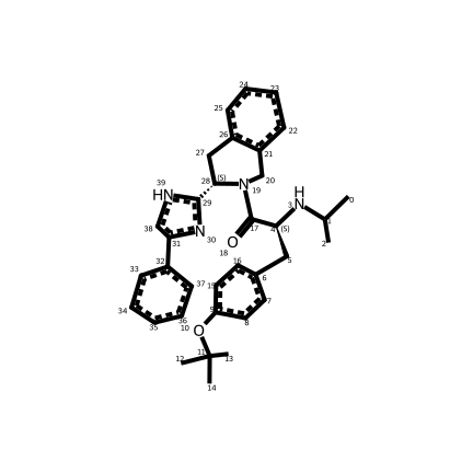 CC(C)N[C@@H](Cc1ccc(OC(C)(C)C)cc1)C(=O)N1Cc2ccccc2C[C@H]1c1nc(-c2ccccc2)c[nH]1